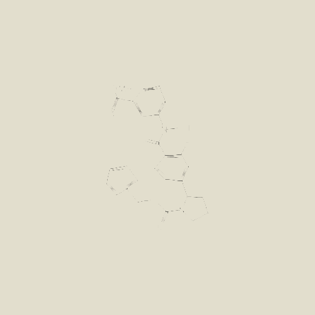 COC(=O)c1cccc(N(O)C(=O)c2ccc(C3CCCN3C(=O)OCc3ccccc3)cc2F)c1